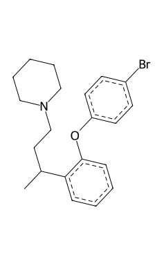 CC(CCN1CCCCC1)c1ccccc1Oc1ccc(Br)cc1